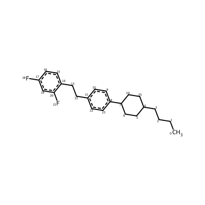 CCCCC1CCC(c2ccc(CCc3ccc(F)cc3F)cc2)CC1